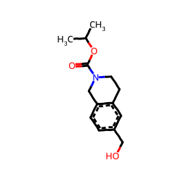 CC(C)OC(=O)N1CCc2cc(CO)ccc2C1